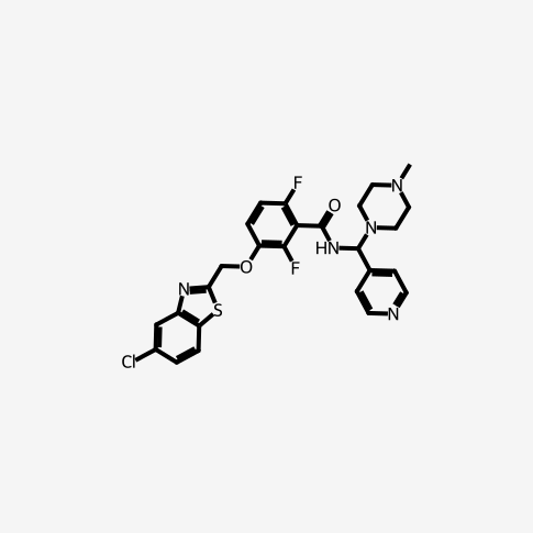 CN1CCN(C(NC(=O)c2c(F)ccc(OCc3nc4cc(Cl)ccc4s3)c2F)c2ccncc2)CC1